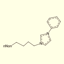 CCCCCCCCCCCCC[n+]1ccn(-c2ccccc2)c1